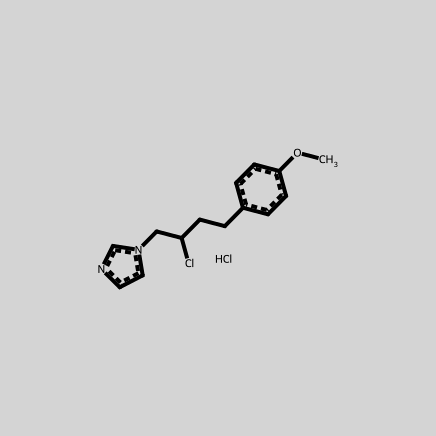 COc1ccc(CCC(Cl)Cn2ccnc2)cc1.Cl